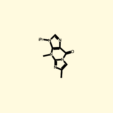 Cc1cn2c(=O)c3ncn(C(C)C)c3n(C)c2n1